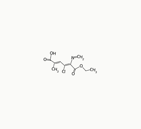 C=N/C(C(=O)OCC)=C(Cl)\C=C(/C)C(=O)O